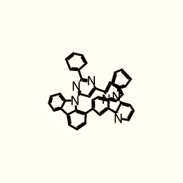 c1ccc(-c2nc(-c3ccccn3)cc(-n3c4ccccc4c4cccc(-c5ccc6c(c5)c5ncccc5n6-c5ccccc5)c43)n2)cc1